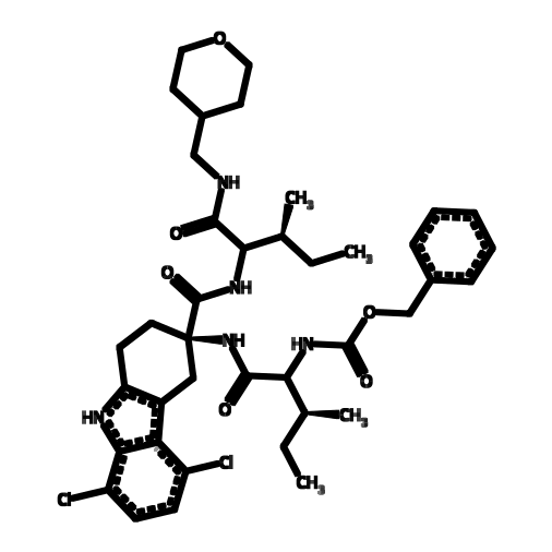 CC[C@H](C)C(NC(=O)OCc1ccccc1)C(=O)N[C@]1(C(=O)NC(C(=O)NCC2CCOCC2)[C@@H](C)CC)CCc2[nH]c3c(Cl)ccc(Cl)c3c2C1